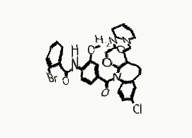 COc1cc(C(=O)N2c3ccc(Cl)cc3CCC(CCN3CCCCC3)C2OCC(N)=O)ccc1NC(=O)c1ccccc1Br